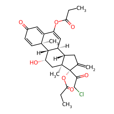 C=C1C[C@H]2[C@@H]3C=C(OC(=O)CC)C4=CC(=O)C=C[C@]4(C)[C@H]3[C@@H](O)C[C@]2(C)[C@]1(OC(=O)CC)C(=O)CCl